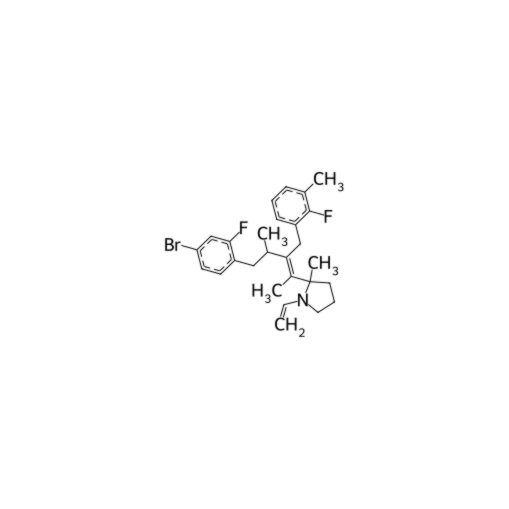 C=CN1CCCC1(C)/C(C)=C(\Cc1cccc(C)c1F)C(C)Cc1ccc(Br)cc1F